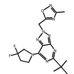 Cc1noc(Cn2nc3nc(C(C)(C)C)nc(N4CCC(F)(F)C4)c3n2)n1